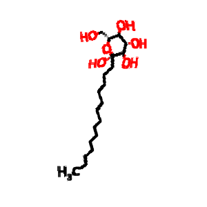 CCCCCCCCCCCCCC[C@@]1(O)O[C@H](CO)[C@@H](O)[C@H](O)[C@H]1O